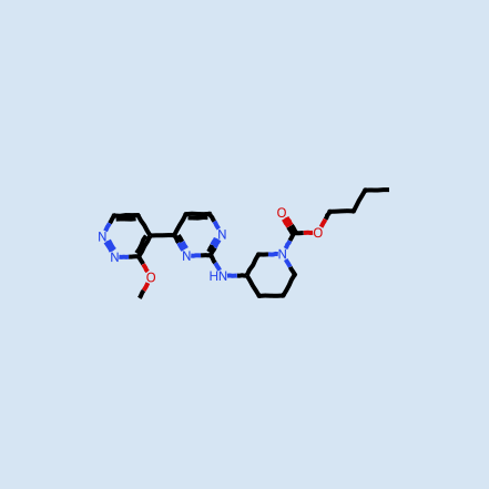 CCCCOC(=O)N1CCCC(Nc2nccc(-c3ccnnc3OC)n2)C1